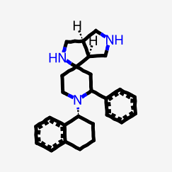 c1ccc(C2CC3(CCN2[C@@H]2CCCc4ccccc42)NC[C@H]2CNC[C@H]23)cc1